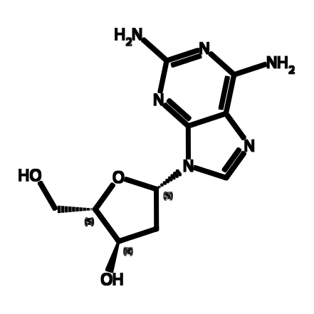 Nc1nc(N)c2ncn([C@@H]3C[C@@H](O)[C@H](CO)O3)c2n1